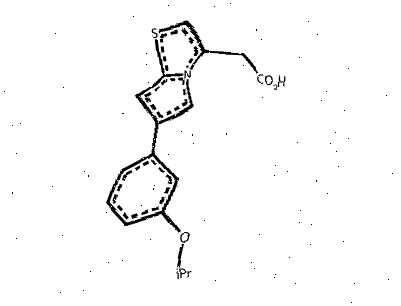 CC(C)Oc1cccc(-c2cc3scc(CC(=O)O)n3c2)c1